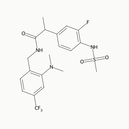 CC(C(=O)NCc1ccc(C(F)(F)F)cc1N(C)C)c1ccc(NS(C)(=O)=O)c(F)c1